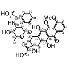 COc1cccc2c1C(=O)c1c(O)c3c(c(O)c1C2=O)C[C@@](O)(C(=O)CO)C[C@@H]3OC1CC(NB(C(=O)O)c2ccccc2)C(O)C(C)O1